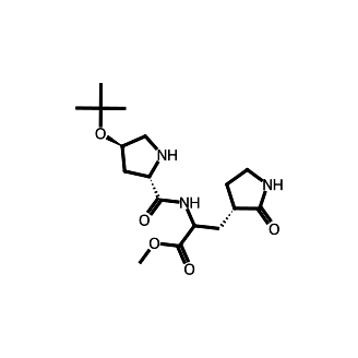 COC(=O)C(C[C@@H]1CCNC1=O)NC(=O)[C@@H]1C[C@@H](OC(C)(C)C)CN1